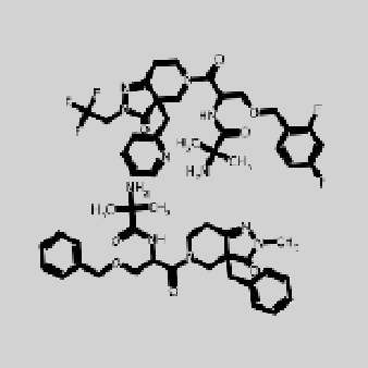 CC(C)(N)C(=O)NC(COCc1ccc(F)cc1F)C(=O)N1CCC2=NN(CC(F)(F)F)C(=O)C2(Cc2ccccn2)C1.CN1N=C2CCN(C(=O)C(COCc3ccccc3)NC(=O)C(C)(C)N)CC2(Cc2ccccc2)C1=O